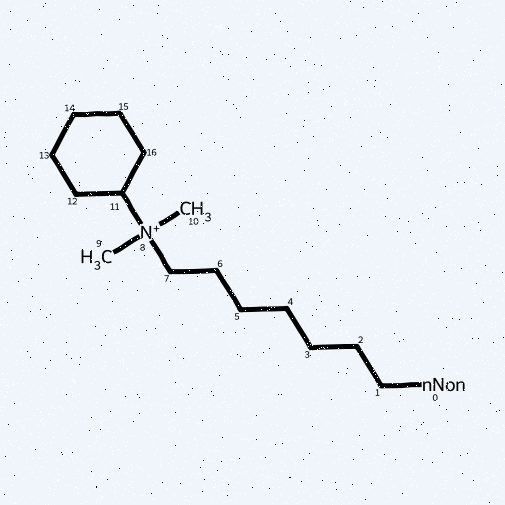 CCCCCCCCCCCCCCCC[N+](C)(C)C1CCCCC1